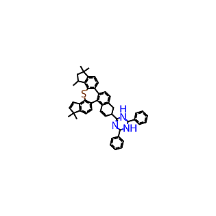 CC1CC(C)(C)c2ccc3c(c21)Sc1c(ccc2c1C=CC2(C)C)-c1c-3ccc2c1C=CC(C1=NC(c3ccccc3)NC(c3ccccc3)N1)C2